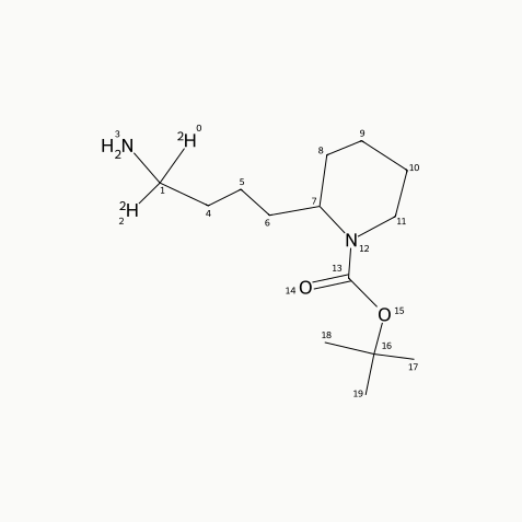 [2H]C([2H])(N)CCCC1CCCCN1C(=O)OC(C)(C)C